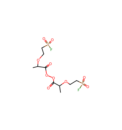 CC(OCCS(=O)(=O)F)C(=O)OOC(=O)C(C)OCCS(=O)(=O)F